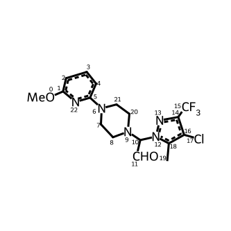 COc1cccc(N2CCN(C(C=O)n3nc(C(F)(F)F)c(Cl)c3C)CC2)n1